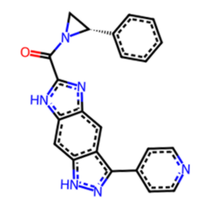 O=C(c1nc2cc3c(-c4ccncc4)n[nH]c3cc2[nH]1)N1C[C@@H]1c1ccccc1